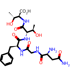 C[C@@H](O)[C@H](NC(=O)[C@@H](NC(=O)[C@H](Cc1ccccc1)NC(=O)CNC(=O)[C@@H](N)CC(N)=O)[C@@H](C)O)C(=O)O